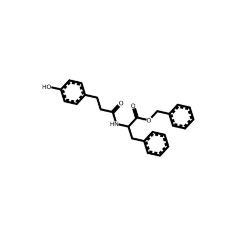 O=C(CCc1ccc(O)cc1)NC(Cc1ccccc1)C(=O)OCc1ccccc1